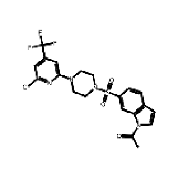 CC(=O)n1ccc2ccc(S(=O)(=O)N3CCN(c4cc(C(F)(F)F)cc(Cl)n4)CC3)cc21